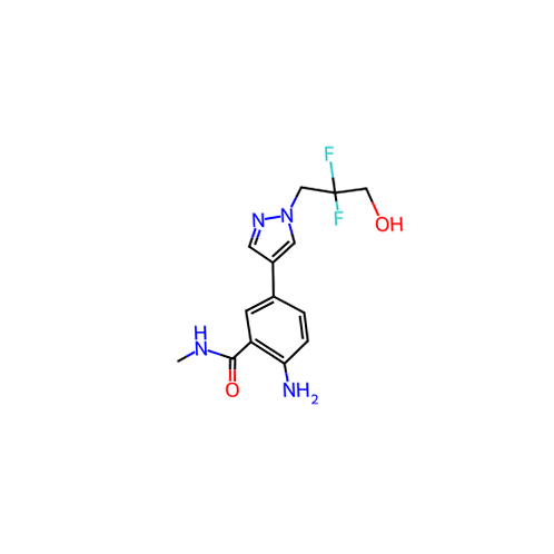 CNC(=O)c1cc(-c2cnn(CC(F)(F)CO)c2)ccc1N